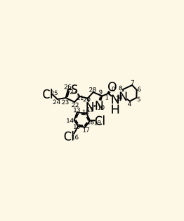 O=C(NN1CCCCC1)C1=NN(c2ccc(Cl)cc2Cl)C(C2CC(CCl)=CS2)C1